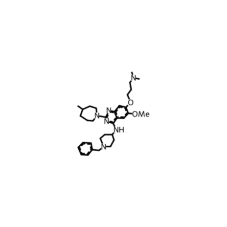 COc1cc2c(NC3CCN(Cc4ccccc4)CC3)nc(N3CCCC(C)CC3)nc2cc1OCCCN(C)C